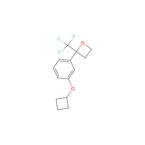 FC(F)(F)C1(c2cccc(OC3CCC3)c2)CCO1